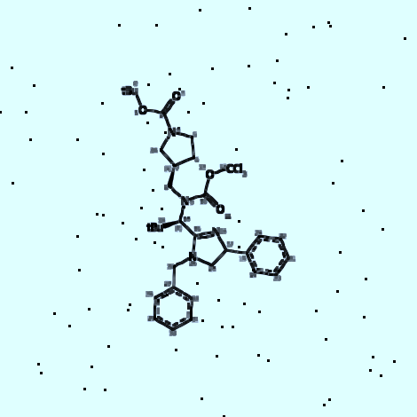 CC(C)(C)OC(=O)N1CC[C@@H](CN(C(=O)OC(Cl)(Cl)Cl)[C@@H](C2=NC(c3ccccc3)CN2Cc2ccccc2)C(C)(C)C)C1